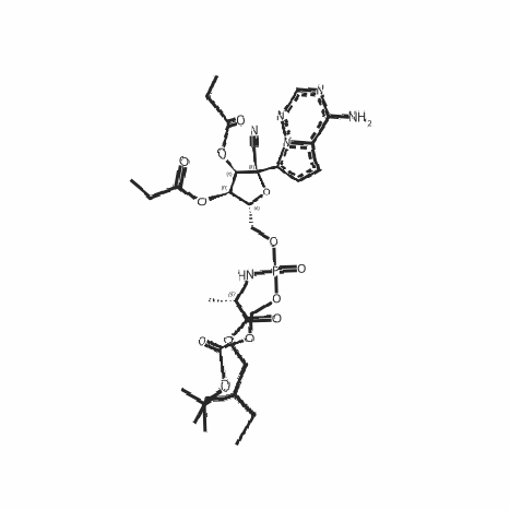 CCC(=O)O[C@H]1[C@@H](OC(=O)CC)[C@](C#N)(c2ccc3c(N)ncnn23)O[C@@H]1COP(=O)(N[C@@H](C)C(=O)OCC(CC)CC)OCOC(=O)OC(C)C